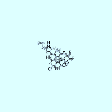 N#Cc1cnc2c(Cl)cc(N[C@H](C3=CN(CCF)NN3)c3ccc(F)cc3)cc2c1Nc1cnc(F)c(F)c1